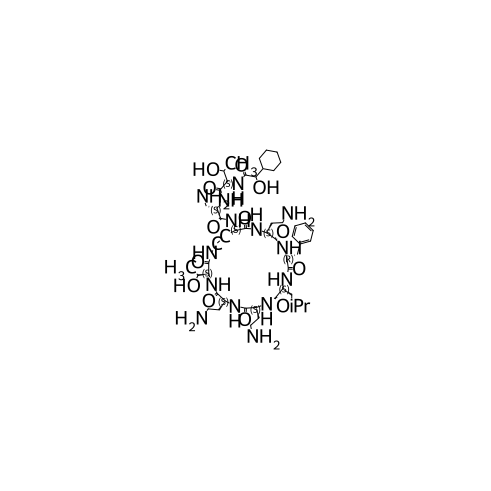 CC(C)C[C@@H]1NC(=O)[C@@H](Cc2ccccc2)NC(=O)[C@H](CCN)NC(=O)[C@@H](NC(=O)[C@H](CN)NC(=O)[C@@H](NC(=O)C(O)C2CCCCC2)C(C)O)CCNC(=O)[C@H](C(C)O)NC(=O)[C@H](CCN)NC(=O)[C@H](CCN)NC1=O